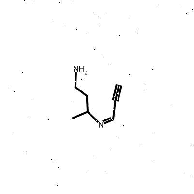 C#C/C=N\C(C)CCN